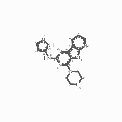 c1cnc2oc3c(N4CCOCC4)nc(Nc4ccn[nH]4)nc3c2c1